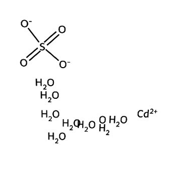 O.O.O.O.O.O.O.O.O=S(=O)([O-])[O-].[Cd+2]